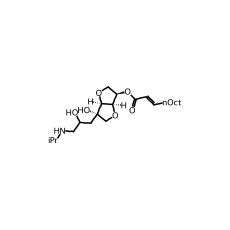 CCCCCCCCC=CC(=O)O[C@@H]1CO[C@H]2[C@@H]1OC[C@@]2(O)CC(O)CNC(C)C